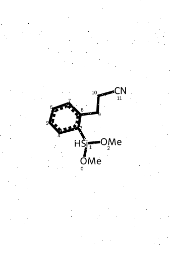 CO[SiH](OC)c1ccccc1CCC#N